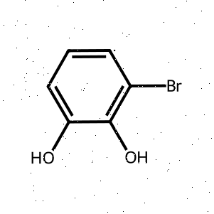 Oc1cc[c]c(Br)c1O